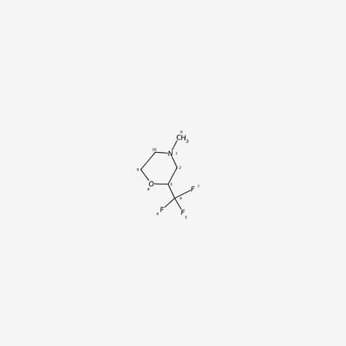 CN1[CH]C(C(F)(F)F)OCC1